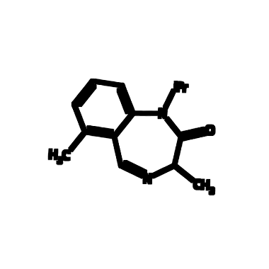 Cc1cccc2c1C=NC(C)C(=O)N2C(C)C